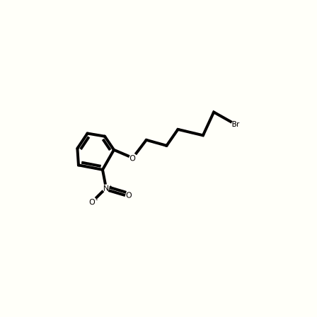 O=[N+]([O-])c1ccccc1OCCCCCBr